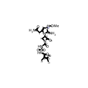 CO/N=S1/C=C(CC(N)=O)N(C2CN(C(=O)NS(=O)(=O)Nc3onc(C)c3C)C2=O)C1N